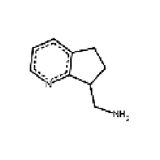 NCC1CCc2cccnc21